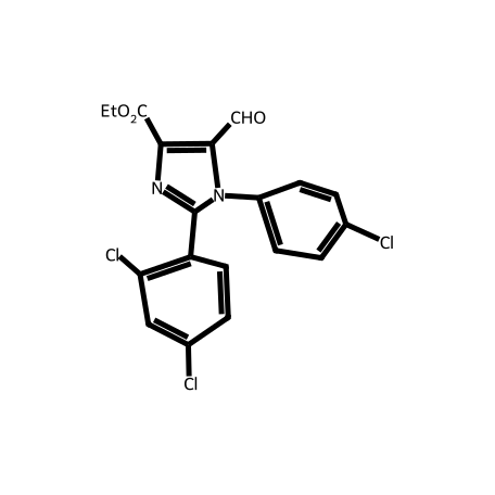 CCOC(=O)c1nc(-c2ccc(Cl)cc2Cl)n(-c2ccc(Cl)cc2)c1C=O